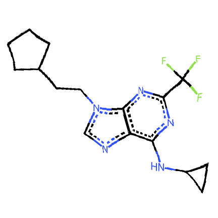 FC(F)(F)c1nc(NC2CC2)c2ncn(CCC3CCCC3)c2n1